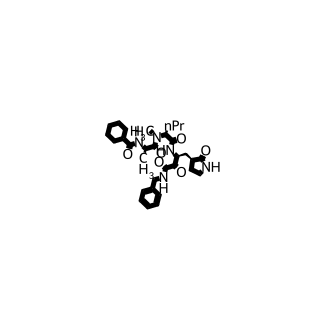 CCC[C@@H](C(=O)N[C@@H](C[C@@H]1CCNC1=O)C(=O)C(=O)NCc1ccccc1)N(C)C(=O)[C@@H](C)NC(=O)C1CCCCC1